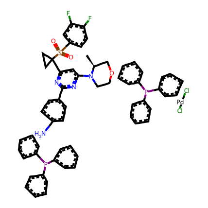 C[C@H]1COCCN1c1cc(C2(S(=O)(=O)c3ccc(F)c(F)c3)CC2)nc(-c2ccc(N)cc2)n1.[Cl][Pd][Cl].c1ccc(P(c2ccccc2)c2ccccc2)cc1.c1ccc(P(c2ccccc2)c2ccccc2)cc1